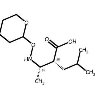 CC(C)C[C@@H](C(=O)O)[C@H](C)NOC1CCCCO1